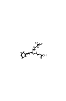 O=C(O)CCCSC(C#Cc1ccccc1)SCCCC(=O)O